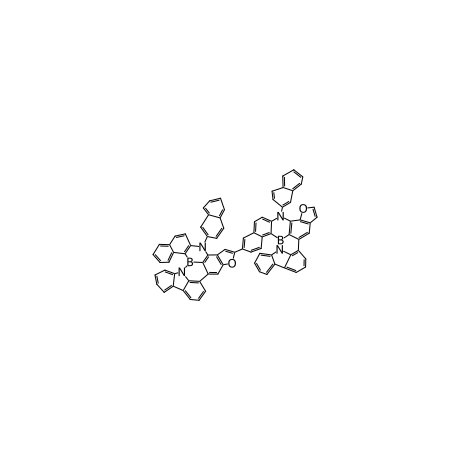 c1ccc2cc(N3c4ccc5ccccc5c4B4c5c(cc6oc(-c7ccc8c9c(ccc8c7)N(c7ccc8ccccc8c7)c7c8c(cc%10ccoc7%10)-c7cccc%10c%11ccccc%11n(c7%10)B89)cc6c53)-c3cccc5c6ccccc6n4c35)ccc2c1